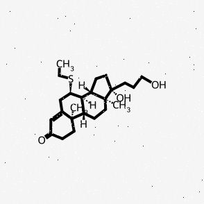 CCS[C@@H]1CC2=CC(=O)CC[C@]2(C)[C@H]2CC[C@@]3(C)[C@@H](CC[C@@]3(O)CCCO)[C@H]12